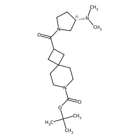 CN(C)[C@H]1CCN(C(=O)C2CC3(CCN(C(=O)OC(C)(C)C)CC3)C2)C1